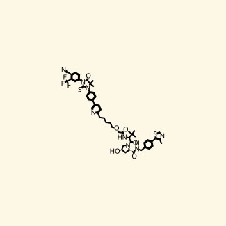 Cc1ncsc1-c1ccc(CNC(=O)[C@@H]2C[C@@H](O)CN2C(=O)C(NC(=O)COCCCCCc2ccc(-c3ccc(N4C(=S)N(c5ccc(C#N)c(C(F)(F)F)c5)C(=O)C4(C)C)cc3)cn2)C(C)(C)C)cc1